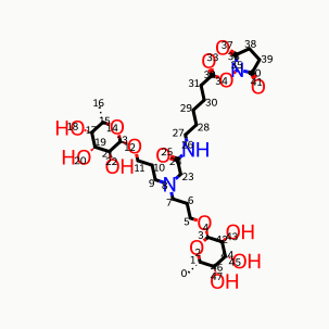 C[C@@H]1O[C@@H](OCCCN(CCCO[C@@H]2O[C@@H](C)[C@@H](O)[C@@H](O)[C@@H]2O)CC(=O)NCCCCCC(=O)ON2C(=O)CCC2=O)[C@@H](O)[C@H](O)[C@@H]1O